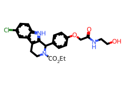 CCOC(=O)N1CCc2c([nH]c3ccc(Cl)cc23)C1c1ccc(OCC(=O)NCCO)cc1